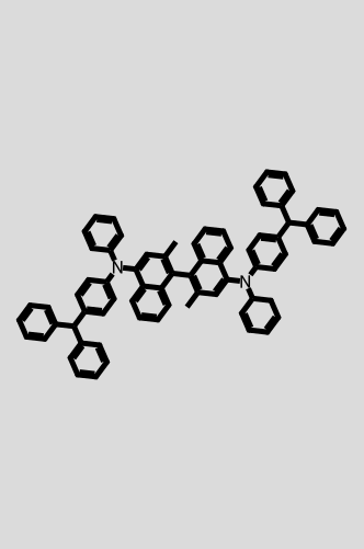 Cc1cc(N(c2ccccc2)c2ccc(C(c3ccccc3)c3ccccc3)cc2)c2ccccc2c1-c1c(C)cc(N(c2ccc(C(c3ccccc3)c3ccccc3)cc2)C2C=CC=CC2)c2ccccc12